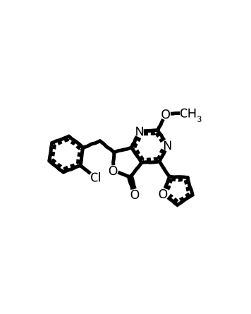 COc1nc(-c2ccco2)c2c(n1)C(Cc1ccccc1Cl)OC2=O